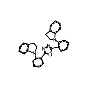 c1ccc2c(c1)CCN2c1ccccc1-c1nnc(-c2ccccc2N2CCc3ccccc32)o1